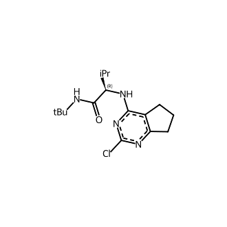 CC(C)[C@@H](Nc1nc(Cl)nc2c1CCC2)C(=O)NC(C)(C)C